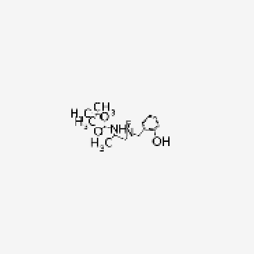 CC(CN(F)Cc1ccccc1O)NC(=O)OC(C)(C)C